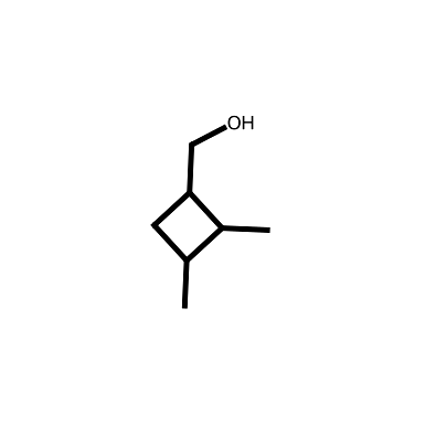 CC1CC(CO)C1C